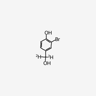 [2H]C([2H])(O)c1ccc(O)c(Br)c1